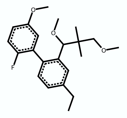 CCc1ccc(-c2cc(OC)ccc2F)c(C(OC)C(C)(C)COC)c1